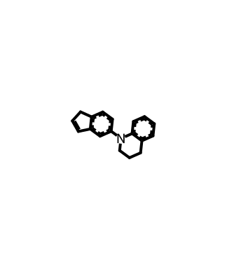 C1=Cc2cc(N3CCCc4ccccc43)ccc2C1